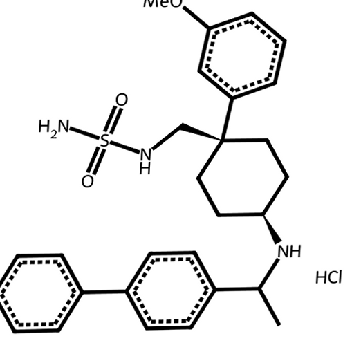 COc1cccc([C@]2(CNS(N)(=O)=O)CC[C@@H](NC(C)c3ccc(-c4ccccc4)cc3)CC2)c1.Cl